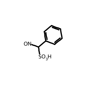 O=NC(c1ccccc1)S(=O)(=O)O